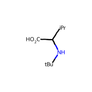 CC(C)C(NC(C)(C)C)C(=O)O